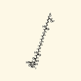 COCC(CCCCNC(=O)CCOCCOCCOCCOCCNC(=O)CCC(=O)NC(=N)SC(=N)S(N)(=O)=O)COC